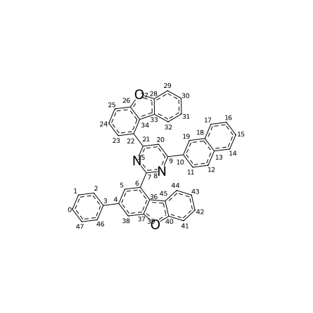 c1ccc(-c2cc(-c3nc(-c4ccc5ccccc5c4)cc(-c4cccc5oc6ccccc6c45)n3)c3c(c2)oc2ccccc23)cc1